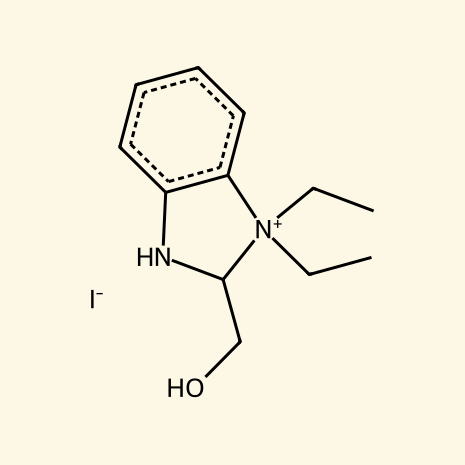 CC[N+]1(CC)c2ccccc2NC1CO.[I-]